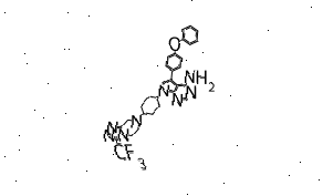 Nc1ncnc2c1c(-c1ccc(Oc3ccccc3)cc1)cn2[C@H]1CC[C@H](N2CCn3c(nnc3C(F)(F)F)C2)CC1